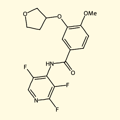 COc1ccc(C(=O)Nc2c(F)cnc(F)c2F)cc1OC1CCOC1